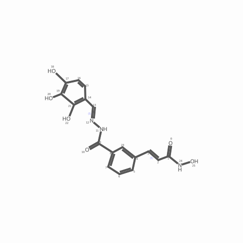 O=C(/C=C/c1cccc(C(=O)N/N=C/c2ccc(O)c(O)c2O)c1)NO